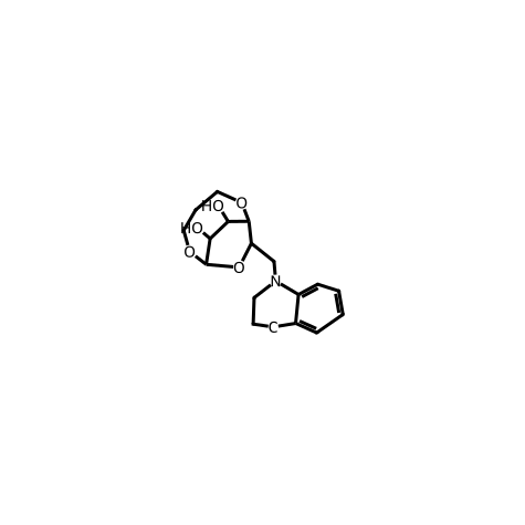 OC1C2OCCCOC(C(CN3CCCc4ccccc43)O2)C1O